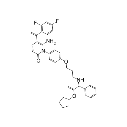 C=C(c1ccc(F)cc1F)c1ccc(=O)n(-c2ccc(OCCCN[C@H](C(=C)OC3CCCC3)c3ccccc3)cc2)c1N